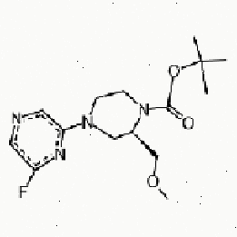 COC[C@H]1CN(c2cncc(F)n2)CCN1C(=O)OC(C)(C)C